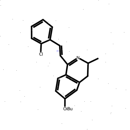 CC(C)COc1ccc2c(c1)CC(C)N=C2/C=C/c1ccccc1Cl